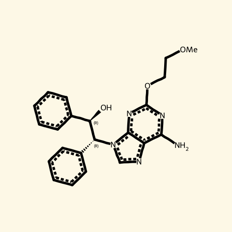 COCCOc1nc(N)c2ncn([C@H](c3ccccc3)[C@H](O)c3ccccc3)c2n1